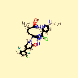 C[C@@H]1CCC[C@H](N2CCC(c3c(F)ccc(Cl)c3F)=CC2=O)c2nc(c(Cl)[nH]2)-c2ccc(NC(=O)O)cc2NC1=O